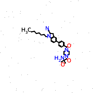 CCCCCCCCN1c2ccc(-c3ccc(C(=O)N4CCN(C(=O)C5(N)COC5)CC4)cc3)cc2CC1C#N